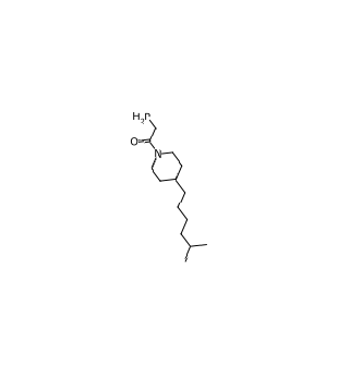 CC(C)CCCCC1CCN(C(=O)CP)CC1